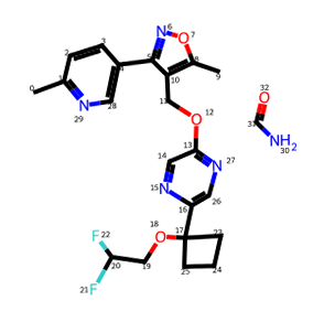 Cc1ccc(-c2noc(C)c2COc2cnc(C3(OCC(F)F)CCC3)cn2)cn1.NC=O